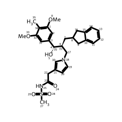 COc1cc([C@@H](O)[C@@H](CC2Cc3ccccc3C2)Cn2ccc(CC(=O)NS(C)(=O)=O)c2)cc(OC)c1C